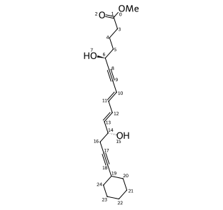 COC(=O)CCC[C@H](O)C#C/C=C/C=C/[C@H](O)CC#CC1CCCCC1